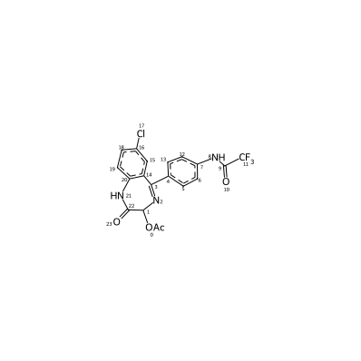 CC(=O)OC1N=C(c2ccc(NC(=O)C(F)(F)F)cc2)c2cc(Cl)ccc2NC1=O